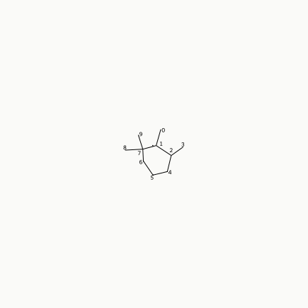 C[C]1C(C)CCCC1(C)C